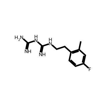 Cc1cc(F)ccc1CCNC(=N)NC(=N)N